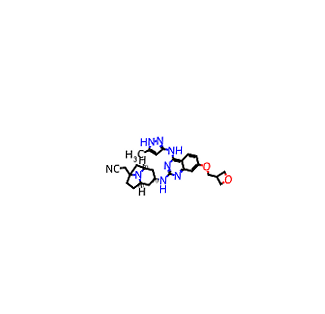 Cc1cc(Nc2nc(N[C@@H]3C[C@H]4CCC5(CC#N)C[C@@H](C3)N45)nc3cc(OCC4COC4)ccc23)n[nH]1